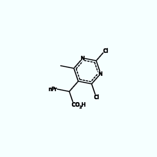 CCCC(C(=O)O)c1c(C)nc(Cl)nc1Cl